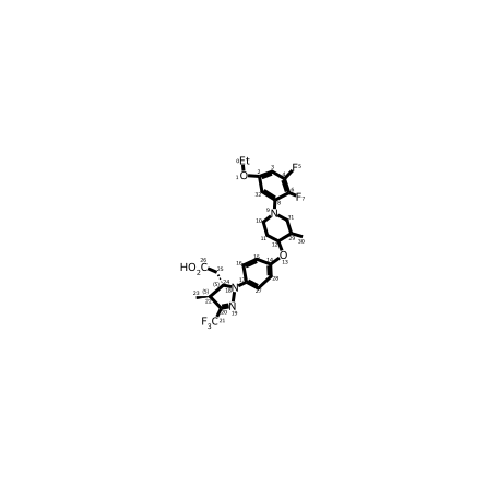 CCOc1cc(F)c(F)c(N2CCC(Oc3ccc(N4N=C(C(F)(F)F)[C@@H](C)[C@@H]4CC(=O)O)cc3)C(C)C2)c1